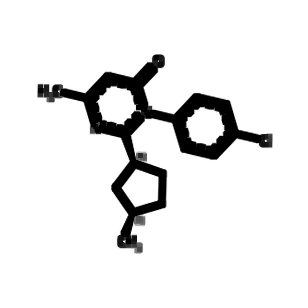 Cc1cc(=O)n(-c2ccc(Cl)cc2)c([C@H]2CC[C@@H](C)C2)n1